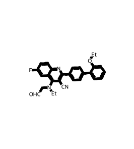 CCOc1ccccc1-c1ccc(-c2nc3ccc(F)cc3c(N(CC)CC=O)c2C#N)cc1